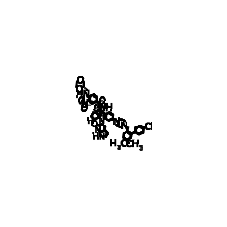 CC1(C)CCC(CN2CCN(c3ccc(C(=O)NS(=O)(=O)c4ccc(NC[C@H]5COCCO5)c([N+](=O)[O-])c4)c(N4c5cc6cc[nH]c6nc5O[C@@H]5CCC[C@H]54)c3)CC2)=C(c2ccc(Cl)cc2)C1